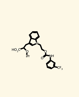 CC(C)OC(Cc1cn(CCOC(=O)Nc2cccc(C(F)(F)F)c2)c2ccccc12)C(=O)O